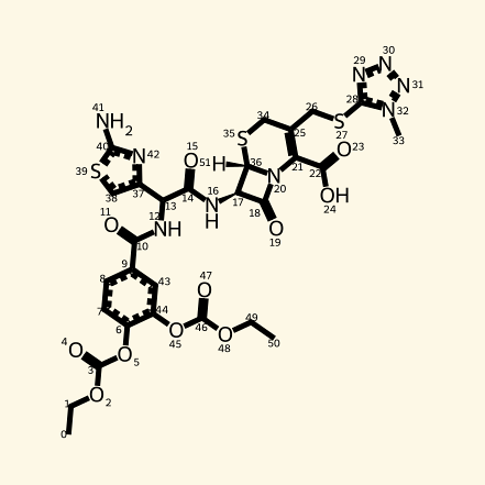 CCOC(=O)Oc1ccc(C(=O)NC(C(=O)N[C@@H]2C(=O)N3C(C(=O)O)=C(CSc4nnnn4C)CS[C@@H]23)c2csc(N)n2)cc1OC(=O)OCC